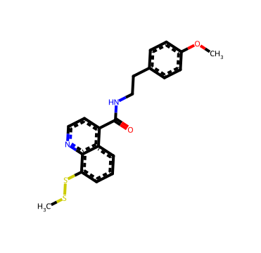 COc1ccc(CCNC(=O)c2ccnc3c(SSC)cccc23)cc1